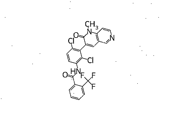 Cn1c(=O)c(-c2c(Cl)ccc(NC(=O)c3ccccc3C(F)(F)F)c2Cl)cc2cnccc21